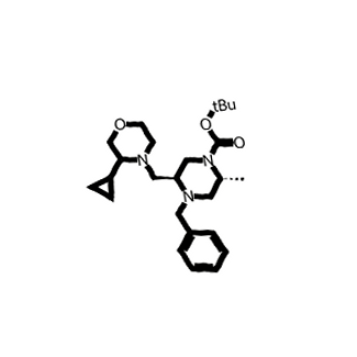 C[C@@H]1CN(Cc2ccccc2)[C@@H](CN2CCOCC2C2CC2)CN1C(=O)OC(C)(C)C